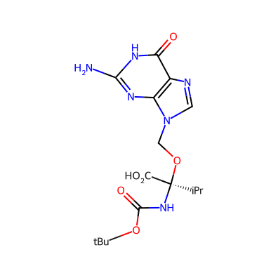 CC(C)[C@@](NC(=O)OC(C)(C)C)(OCn1cnc2c(=O)[nH]c(N)nc21)C(=O)O